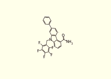 NC(=O)c1cccc2c1c1[c]cc(-c3ccccc3)cc1n2Cc1c(F)c(F)c(F)c(F)c1F